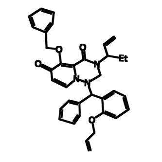 C=CCOc1ccccc1C(c1ccccc1)N1CN(C(C=C)CC)C(=O)c2c(OCc3ccccc3)c(=O)ccn21